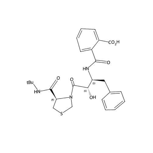 CC(C)(C)NC(=O)[C@@H]1CSCN1C(=O)[C@@H](O)[C@H](Cc1ccccc1)NC(=O)c1ccccc1C(=O)O